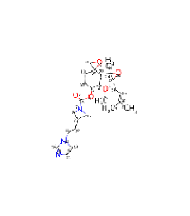 COC1C(OC(=O)N2CC(CCn3ccnc3)C2)CCC2(CO2)C1[C@@]1(C)O[C@@H]1CC=C(C)C